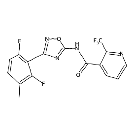 Cc1ccc(F)c(-c2noc(NC(=O)c3cccnc3C(F)(F)F)n2)c1F